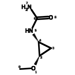 CO[C@H]1C[C@H]1NC(N)=O